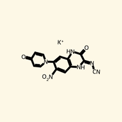 N#CN=c1[nH]c2cc([N+](=O)[O-])c(-n3ccc(=O)cc3)cc2[nH]c1=O.[K+]